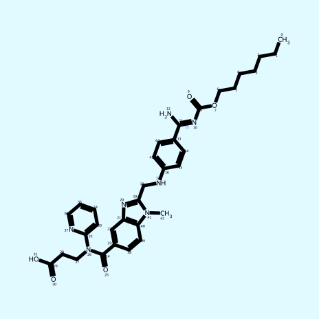 CCCCCCCOC(=O)/N=C(\N)c1ccc(NCc2nc3cc(C(=O)N(CCC(=O)O)c4ccccn4)ccc3n2C)cc1